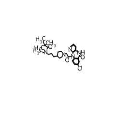 CCN(CCCC1CCN(CC(=O)N2c3ccc(Cl)cc3C(=O)Nc3cccnc32)CC1)C(=O)C(C)(C)CC